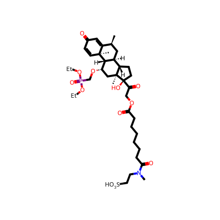 CCOP(=O)(CO[C@H]1C[C@@]2(C)[C@@H](CC[C@]2(O)C(=O)COC(=O)CCCCCCC(=O)N(C)CCS(=O)(=O)O)[C@@H]2C[C@H](C)C3=CC(=O)C=C[C@]3(C)[C@H]21)OCC